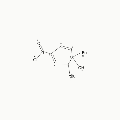 CC(C)(C)C1C=C(C(=O)Cl)C=CC1(O)C(C)(C)C